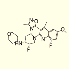 COc1cc(F)c2nc(N3CC[C@@H](NC4CCOCC4)[C@H](F)C3)c(-c3nc(C)no3)c(C)c2c1